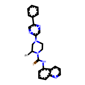 CC(C)C1CN(c2cnc(-c3ccccc3)cn2)CCN1C(=S)Nc1cccc2ncccc12